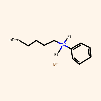 CCCCCCCCCCCCCC[N+](CC)(CC)c1ccccc1.[Br-]